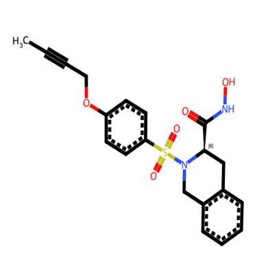 CC#CCOc1ccc(S(=O)(=O)N2Cc3ccccc3C[C@@H]2C(=O)NO)cc1